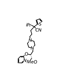 COC[C@@H](CN1CCN(CCCC(C#N)(c2cccs2)C(C)C)CC1)Oc1ccccn1